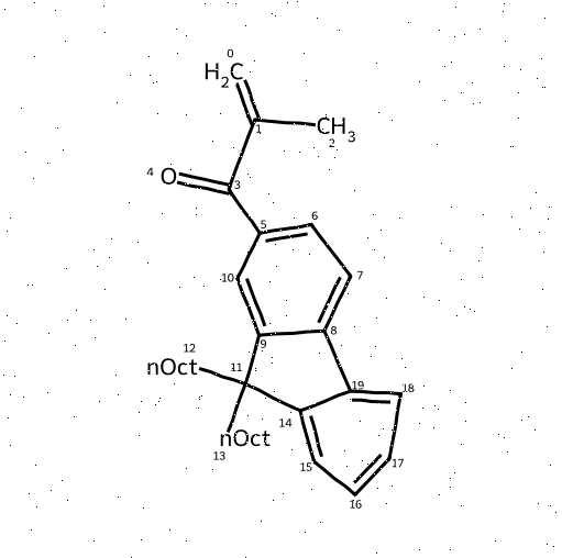 C=C(C)C(=O)c1ccc2c(c1)C(CCCCCCCC)(CCCCCCCC)c1ccccc1-2